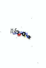 CC(C)C[C@H](NC(=O)c1ccc2nc(-n3cccc3)sc2c1)C([NH])=O